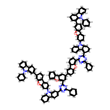 c1ccc(-c2nc(-c3ccc4c5ccccc5n(-c5ccc6c(c5)oc5cc(-c7ccc8c9ccccc9n(-c9ccccc9)c8c7)ccc56)c4c3)nc(-c3cc(-c4ccc5oc6c(-c7nc(-c8ccccc8)nc(-c8cccc9c8c8ccccc8n9-c8ccc9c(c8)oc8cc(-c%10cccc%11c%12ccccc%12n(-c%12ccccc%12)c%10%11)ccc89)n7)cccc6c5c4)cc4c3oc3ccccc34)n2)cc1